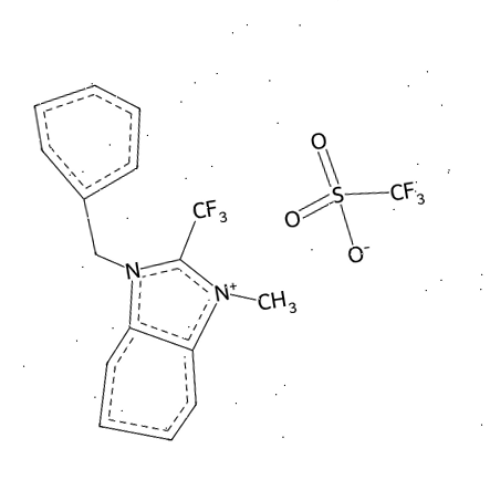 C[n+]1c(C(F)(F)F)n(Cc2ccccc2)c2ccccc21.O=S(=O)([O-])C(F)(F)F